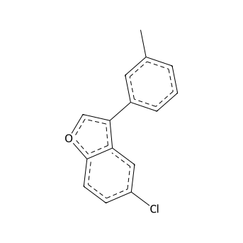 Cc1cccc(-c2coc3ccc(Cl)cc23)c1